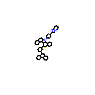 C1=CC(c2cn3ccccc3n2)CC=C1n1c2ccc3ccccc3c2c2c3c4cccc(-c5cc6ccccc6c6ccccc56)c4sc3c3ccccc3c21